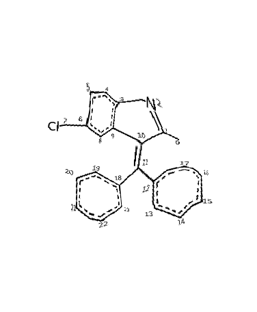 CC1=Nc2ccc(Cl)cc2C1=C(c1ccccc1)c1ccccc1